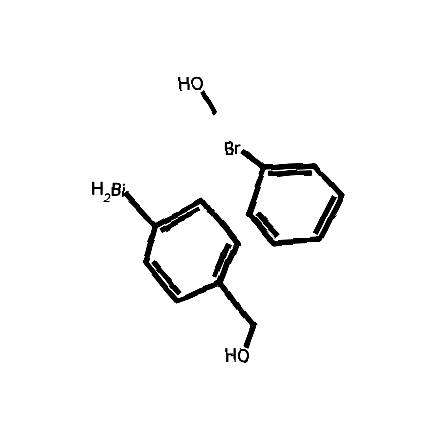 Brc1ccccc1.CO.OCc1cc[c]([BiH2])cc1